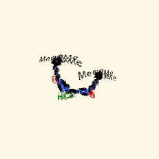 COc1cc(/C=C/C=C/C(=O)N2CCN(CCCN3CCN(C(=O)/C=C/C=C/c4cc(OC)c(OC)c(OC)c4)CC3)CC2)cc(OC)c1OC.Cl.Cl